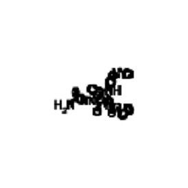 COc1cc(CNCC(=C=O)C2CN(C(=O)Oc3cccc4ccccc34)CCN2C(=O)[C@@H](CC2CCCCC2)NC2CCC3(CC2)CCN(Cc2ccccc2)C3)ccc1CN